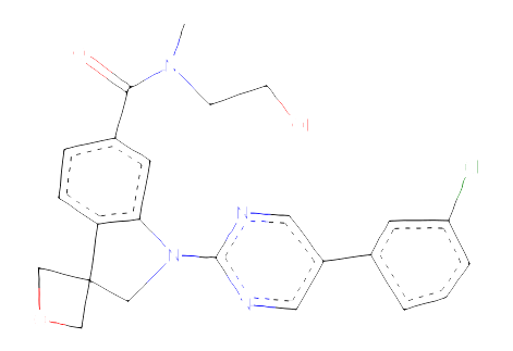 CN(CCO)C(=O)c1ccc2c(c1)N(c1ncc(-c3cccc(Cl)c3)cn1)CC21COC1